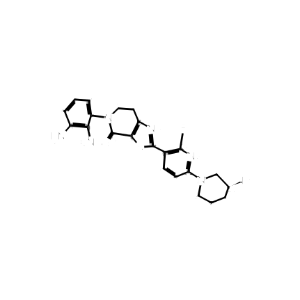 N#Cc1c(N)cccc1N1CCc2nc(-c3ccc(N4CCC[C@H](F)C4)nc3F)sc2C1=O